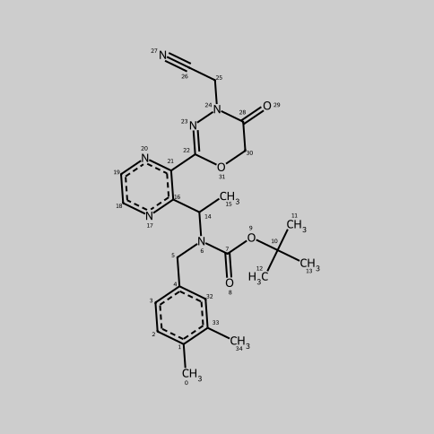 Cc1ccc(CN(C(=O)OC(C)(C)C)C(C)c2nccnc2C2=NN(CC#N)C(=O)CO2)cc1C